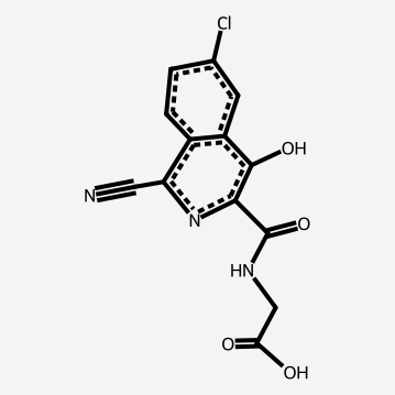 N#Cc1nc(C(=O)NCC(=O)O)c(O)c2cc(Cl)ccc12